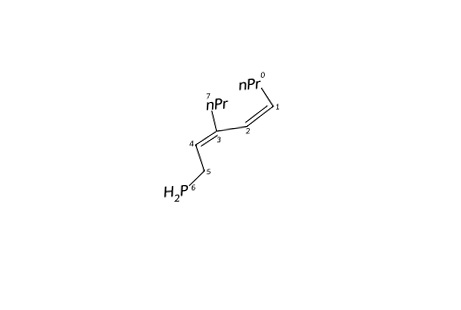 CCC/C=C\C(=C/CP)CCC